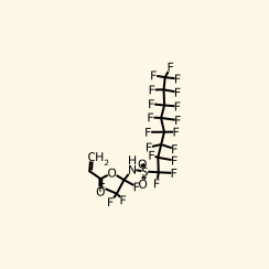 C=CC(=O)OC(F)(NS(=O)(=O)C(F)(F)C(F)(F)C(F)(F)C(F)(F)C(F)(F)C(F)(F)C(F)(F)C(F)(F)F)C(F)(F)F